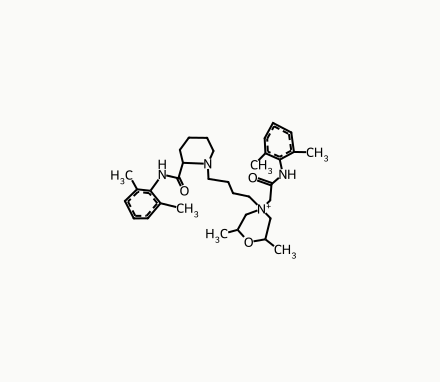 Cc1cccc(C)c1NC(=O)C[N+]1(CCCCN2CCCCC2C(=O)Nc2c(C)cccc2C)CC(C)OC(C)C1